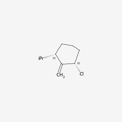 C=C1[C@H](C(C)C)CCC[C@@H]1Cl